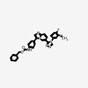 COc1cc(-n2cnnc2-c2ccc3ncc(-c4ccc(NC(=O)OCc5ccccc5)cc4)n3c2)ccc1F